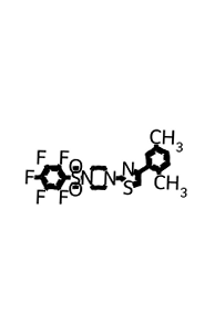 Cc1ccc(C)c(-c2csc(N3CCN(S(=O)(=O)c4c(F)c(F)c(F)c(F)c4F)CC3)n2)c1